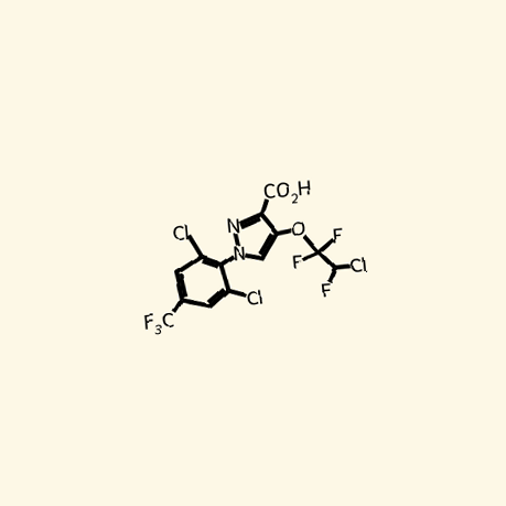 O=C(O)c1nn(-c2c(Cl)cc(C(F)(F)F)cc2Cl)cc1OC(F)(F)C(F)Cl